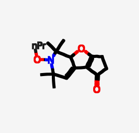 CCCON1C(C)(C)C=C2C3=C(CCC3=O)OC2C1(C)C